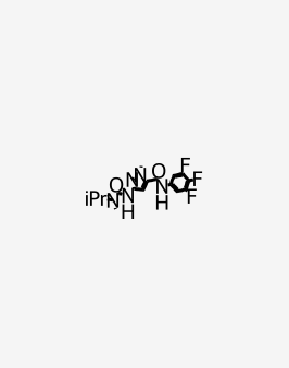 CC(C)N(C)C(=O)Nc1cc(C(=O)Nc2cc(F)c(F)c(F)c2)n(C)n1